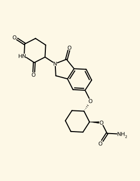 NC(=O)O[C@H]1CCCC[C@@H]1Oc1ccc2c(c1)CN(C1CCC(=O)NC1=O)C2=O